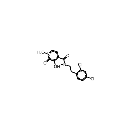 Cn1ccc(C(=O)NCCc2ccc(Cl)cc2Cl)c(O)c1=O